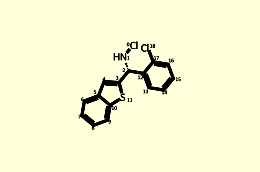 ClN[C@@H](c1cc2ccccc2s1)c1ccccc1Cl